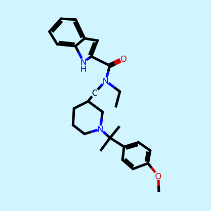 CCN(CC1CCCN(C(C)(C)c2ccc(OC)cc2)C1)C(=O)c1cc2ccccc2[nH]1